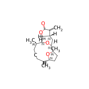 C=C1C(=O)O[C@H]2[C@H]3O[C@@H](C[C@@H]12)[C@@]1(C)CC[C@H](O1)[C@H](C)CCC[C@H]3C